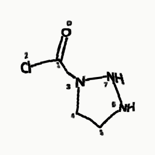 O=C(Cl)N1CCNN1